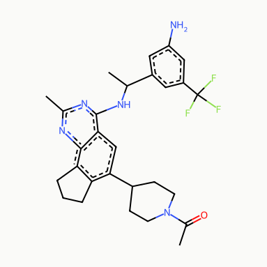 CC(=O)N1CCC(c2cc3c(NC(C)c4cc(N)cc(C(F)(F)F)c4)nc(C)nc3c3c2CCC3)CC1